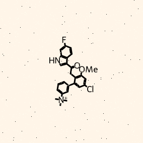 COc1cc(Cl)cc(-c2cccc([N+](C)(C)C)c2)c1CC(=O)c1c[nH]c2cc(F)ccc12